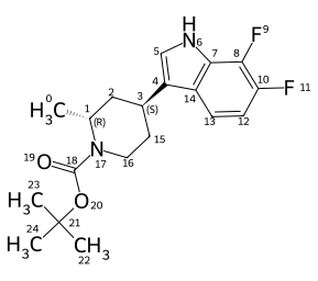 C[C@@H]1C[C@@H](c2c[nH]c3c(F)c(F)ccc23)CCN1C(=O)OC(C)(C)C